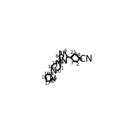 N#Cc1ccc(-c2cncc(N3CCN(c4ccccn4)CC3)n2)cc1